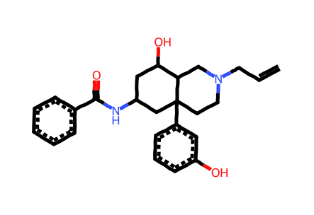 C=CCN1CCC2(c3cccc(O)c3)CC(NC(=O)c3ccccc3)CC(O)C2C1